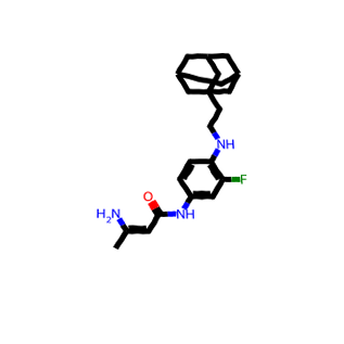 CC(N)=CC(=O)Nc1ccc(NCCC23CC4CC(CC(C4)C2)C3)c(F)c1